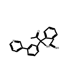 CC(=N)NC(C(C)=O)(c1ccccc1)c1cccc(-c2cccnc2)c1